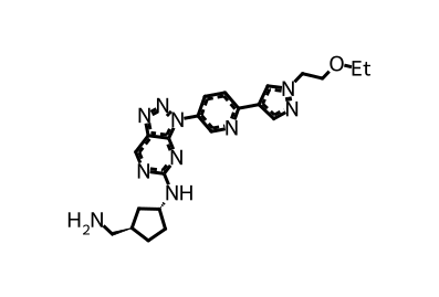 CCOCCn1cc(-c2ccc(-n3nnc4cnc(N[C@@H]5CC[C@@H](CN)C5)nc43)cn2)cn1